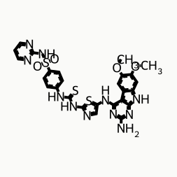 COc1cc2[nH]c3nc(N)nc(Nc4cnc(NC(=S)Nc5ccc(S(=O)(=O)Nc6ncccn6)cc5)s4)c3c2cc1OC